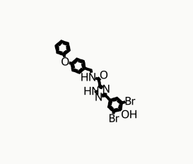 O=C(NCc1ccc(Oc2ccccc2)cc1)c1nc(-c2cc(Br)c(O)c(Br)c2)n[nH]1